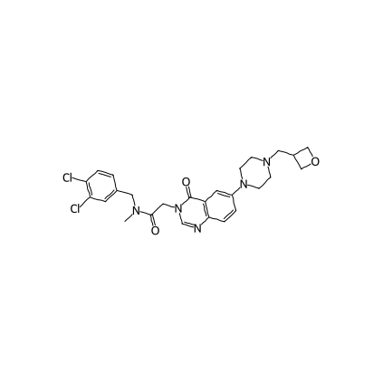 CN(Cc1ccc(Cl)c(Cl)c1)C(=O)Cn1cnc2ccc(N3CCN(CC4COC4)CC3)cc2c1=O